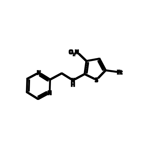 CCc1cc([N+](=O)[O-])c(NCc2ncccn2)s1